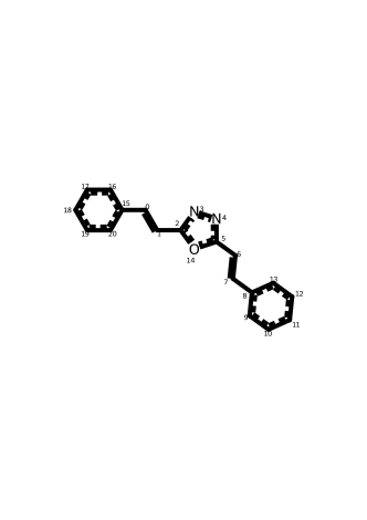 C(=C\c1nnc(/C=C/c2ccccc2)o1)/c1ccccc1